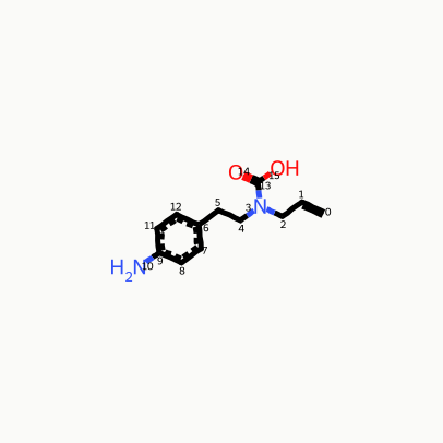 C=CCN(CCc1ccc(N)cc1)C(=O)O